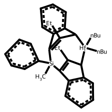 CCC[CH2][Hf]1([CH2]CCC)[CH]2C(CC)=C(c3ccccc32)[Si](C)(c2ccccc2)C2=C(CC)[CH]1c1ccccc12